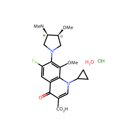 CN[C@@H]1CN(c2c(F)cc3c(=O)c(C(=O)O)cn(C4CC4)c3c2OC)C[C@@H]1OC.Cl.O